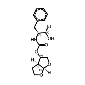 CC[C@@H](O)[C@H](Cc1ccccc1)NC(=O)O[C@H]1CO[C@H]2OCC[C@H]21